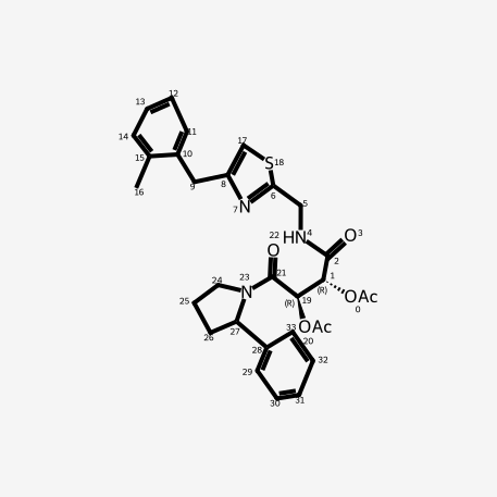 CC(=O)O[C@@H](C(=O)NCc1nc(Cc2ccccc2C)cs1)[C@@H](OC(C)=O)C(=O)N1CCCC1c1ccccc1